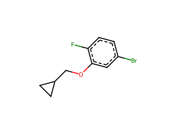 Fc1ccc(Br)cc1OCC1CC1